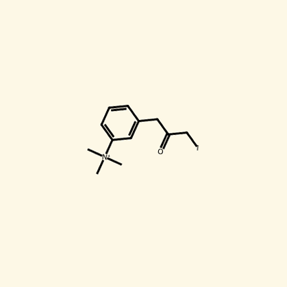 C[N+](C)(C)c1cccc(CC(=O)CI)c1